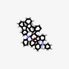 c1ccc(-c2cc(N(c3ccccc3)c3ccc4c(c3)C3(c5ccccc5-c5ccccc53)c3ccccc3-4)cc3c2-c2cccc4c2C3(c2ccccc2)c2ccccc2N4c2ccccc2)cc1